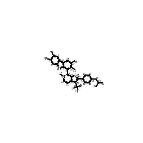 Cc1cc2c(cc1F)oc1c(-c3c4sc(-c5ccc(CC(C)C)cc5)c(C(F)(F)F)c4cc[n+]3C)c(C)c(C)cc12